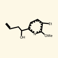 C=CCC(O)c1ccc(CC)c(OC)n1